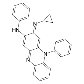 c1ccc(Nc2cc3nc4ccccc4n(-c4ccccc4)c-3cc2=NC2CC2)cc1